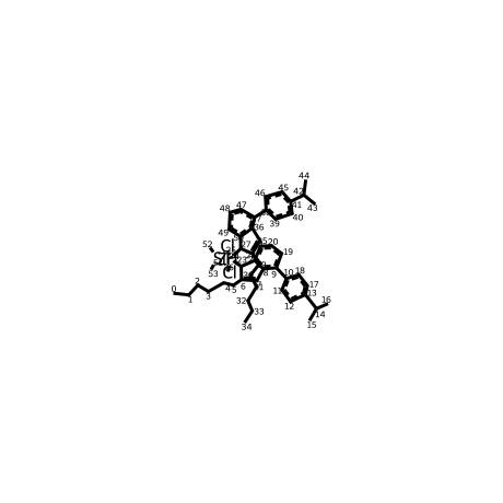 CCCCCCC1=Cc2c(-c3ccc(C(C)C)cc3)cccc2[CH]1[Zr]([Cl])([Cl])([CH]1C(CCCCCC)=Cc2c(-c3ccc(C(C)C)cc3)cccc21)[SiH](C)C